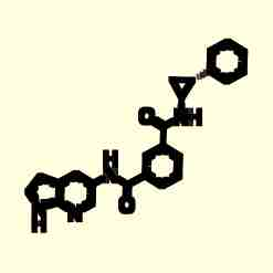 O=C(Nc1cnc2[nH]ccc2c1)c1cccc(C(=O)N[C@H]2C[C@@H]2c2ccccc2)c1